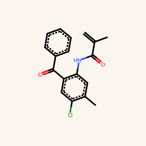 C=C(C)C(=O)Nc1cc(C)c(Cl)cc1C(=O)c1ccccc1